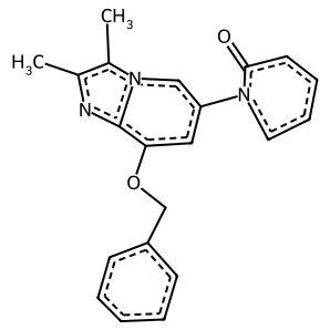 Cc1nc2c(OCc3ccccc3)cc(-n3ccccc3=O)cn2c1C